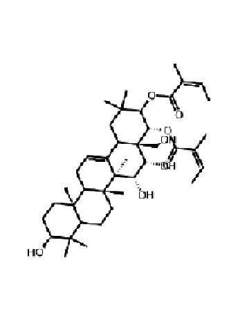 C/C=C(/C)C(=O)O[C@H]1[C@H](OC(=O)/C(C)=C\C)[C@@]2(CO)C(CC1(C)C)C1=CCC3[C@@]4(C)CC[C@H](O)C(C)(C)C4CC[C@@]3(C)[C@]1(C)[C@@H](O)[C@H]2O